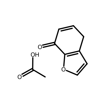 CC(=O)O.O=C1C=CCc2ccoc21